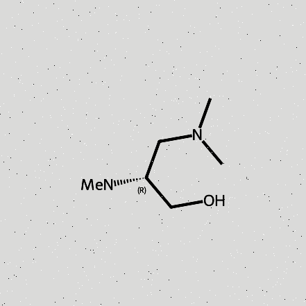 CN[C@@H](CO)CN(C)C